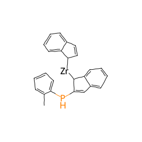 Cc1ccccc1PC1=Cc2ccccc2[CH]1[Zr][CH]1C=Cc2ccccc21